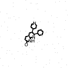 O=c1ccc2cc(-c3ccncc3)c(-c3ccccc3)nc2[nH]1